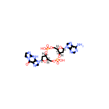 Nc1ncnc2c1ncn2[C@H]1C[C@@H]2OP(=O)(O)OC[C@H]3O[C@@H](n4cnc5c(=O)n6ccnc6[nH]c54)C[C@@H]3OP(=O)(O)OC[C@H]2O1